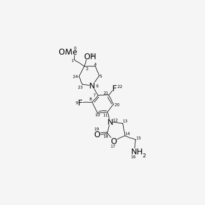 COCC1(O)CCN(c2c(F)cc(N3CC(CN)OC3=O)cc2F)CC1